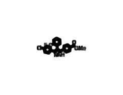 COC(=O)c1ccc(-c2[nH]nc(-c3ccc(Cl)cc3)c2-c2ccccc2C(F)(F)F)cc1